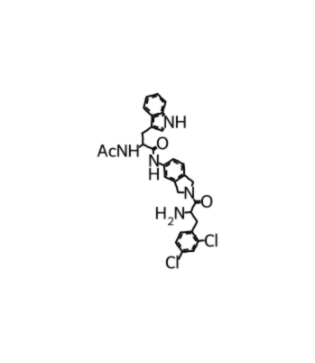 CC(=O)NC(Cc1c[nH]c2ccccc12)C(=O)Nc1ccc2c(c1)CN(C(=O)C(N)Cc1ccc(Cl)cc1Cl)C2